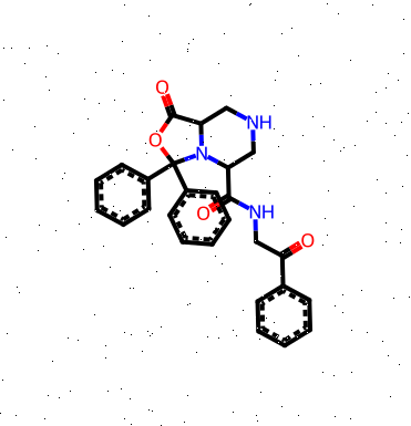 O=C(CNC(=O)C1CNCC2C(=O)OC(c3ccccc3)(c3ccccc3)N12)c1ccccc1